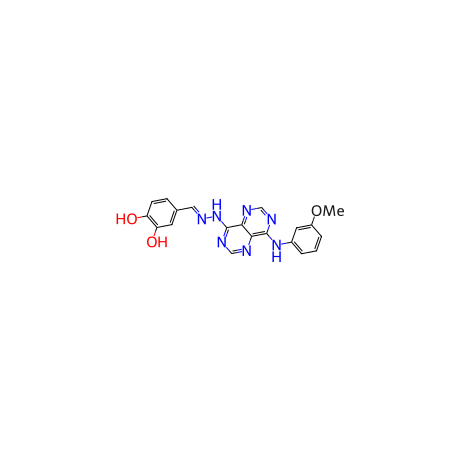 COc1cccc(Nc2ncnc3c(NN=Cc4ccc(O)c(O)c4)ncnc23)c1